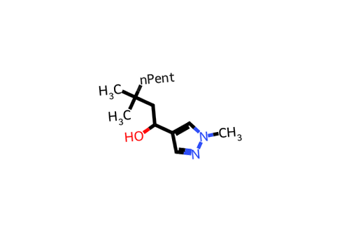 CCCCCC(C)(C)CC(O)c1cnn(C)c1